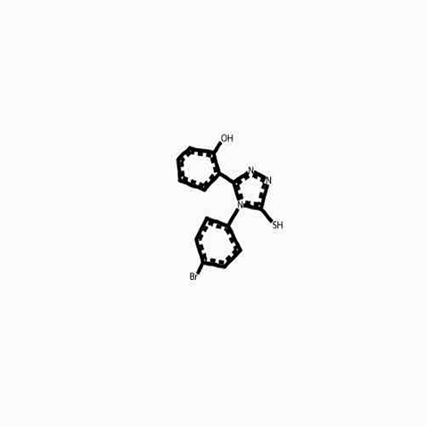 Oc1ccccc1-c1nnc(S)n1-c1ccc(Br)cc1